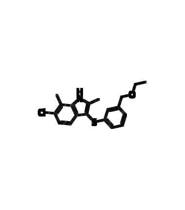 CCOCc1cccc(Sc2c(C)[nH]c3c(C)c(Cl)ccc23)c1